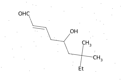 CCC(C)(C)CC(O)CC=CC=O